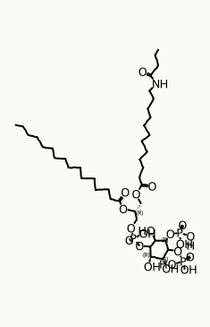 CCCCCCCCCCCCCCCC(=O)O[C@H](COC(=O)CCCCCCCCCCCNC(=O)CCC)COP(=O)(O)OC1C(O)[C@@H](OP(=O)(O)O)C(OP(=O)(O)O)[C@@H](O)[C@H]1O